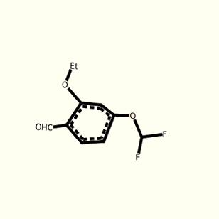 CCOc1cc(OC(F)F)ccc1C=O